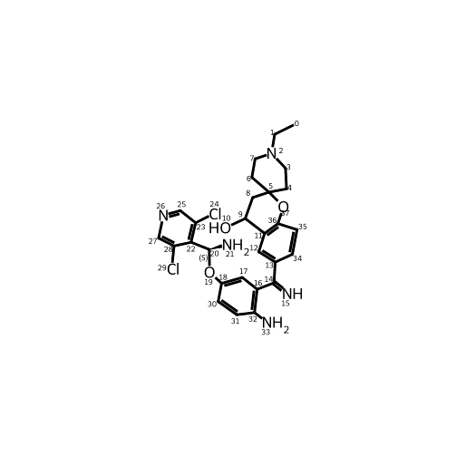 CCN1CCC2(CC1)CC(O)c1cc(C(=N)c3cc(O[C@H](N)c4c(Cl)cncc4Cl)ccc3N)ccc1O2